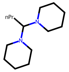 CCCC(N1CCCCC1)N1CCCCC1